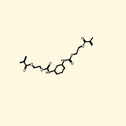 C=C(C)C(=O)OCCOC(=O)NC1CCCC(NC(=O)OCCOC(=O)C(=C)C)C1